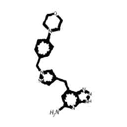 Nc1cc(Cc2cnn(Cc3ccc(N4CCOCC4)cc3)c2)c2nn[nH]c2n1